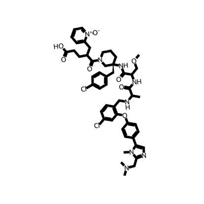 COCC(NC(=O)C(C)NCc1ccc(Cl)cc1Oc1ccc(-c2cnc(CN(C)C)n2C)cc1)C(=O)N[C@@]1(Cc2ccc(Cl)cc2)CCCN(C(=O)C(CCC(=O)O)Cc2cccc[n+]2[O-])C1